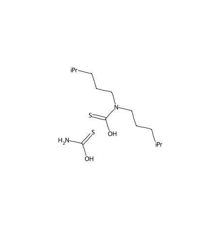 CC(C)CCCN(CCCC(C)C)C(O)=S.NC(O)=S